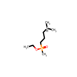 CCOP(C)(=O)CCC[SiH](C)C